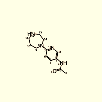 CC(=O)Nc1ccc(N2CCCNCC2)nc1